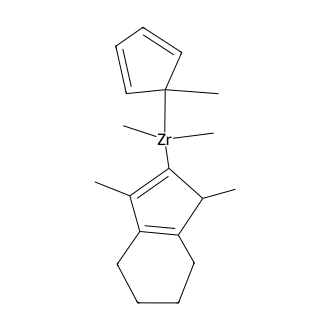 CC1=[C]([Zr]([CH3])([CH3])[C]2(C)C=CC=C2)C(C)C2=C1CCCC2